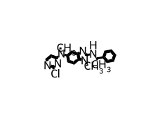 CC(Nc1nc2cc(N(C)c3ccnc(Cl)n3)ccc2n1C)c1ccccc1